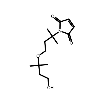 CC(C)(CCO)OCCC(C)(C)N1C(=O)C=CC1=O